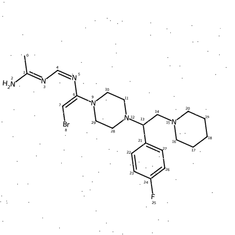 C\C(N)=N/C=N\C(=C\Br)N1CCN(C(CN2CCCCC2)c2ccc(F)cc2)CC1